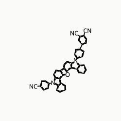 N#Cc1ccc(-n2c3ccccc3c3c4oc5c(ccc6c5c5ccccc5n6-c5ccc(-c6ccc(C#N)c(C#N)c6)cc5)c4ccc32)cc1